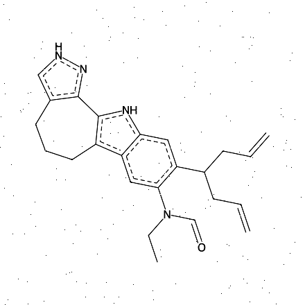 C=CCC(CC=C)c1cc2[nH]c3c(c2cc1N(C=O)CC)CCCc1c[nH]nc1-3